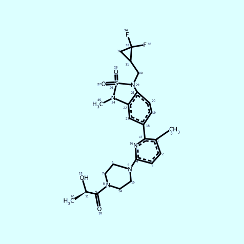 Cc1ccc(N2CCN(C(=O)[C@@H](C)O)CC2)nc1-c1ccc2c(c1)N(C)S(=O)(=O)N2CC1CC1(F)F